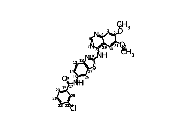 COc1cc2ncnc(Nc3nc4ccc(NC(=O)c5cccc(Cl)c5)cc4s3)c2cc1OC